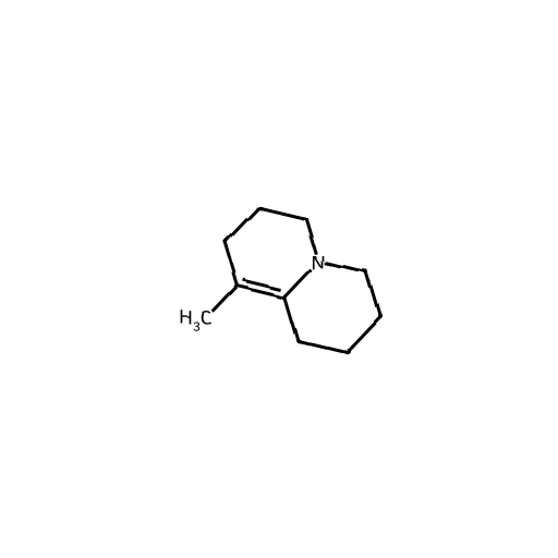 CC1=C2CCCCN2CCC1